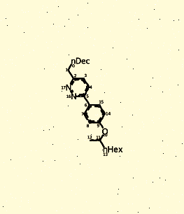 CCCCCCCCCCCc1ccc(-c2ccc(OC(C)CCCCCC)cc2)nn1